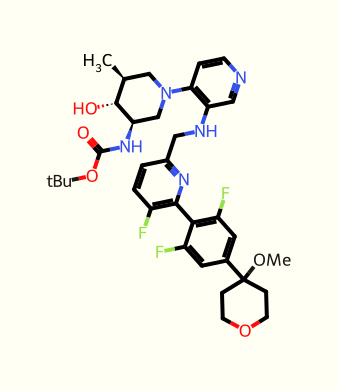 COC1(c2cc(F)c(-c3nc(CNc4cnccc4N4C[C@H](C)[C@@H](O)[C@H](NC(=O)OC(C)(C)C)C4)ccc3F)c(F)c2)CCOCC1